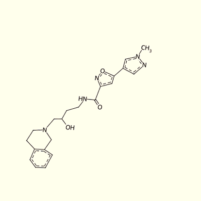 Cn1cc(-c2cc(C(=O)NCCC(O)CN3CCc4ccccc4C3)no2)cn1